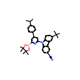 CC(C)c1ccc(-c2cc(B3OC(C)(C)C(C)(C)O3)nc(-n3c4ccc(C#N)cc4c4cc(C(C)(C)C)ccc43)c2)cc1